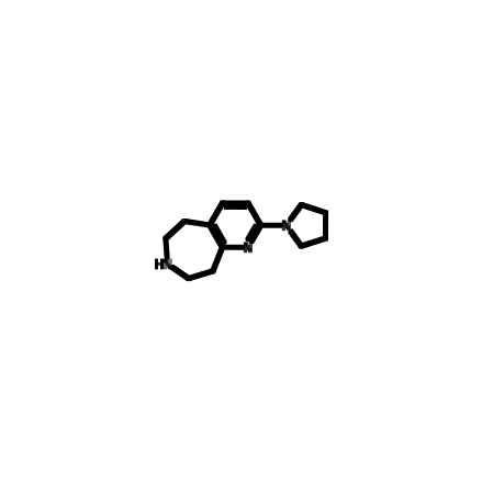 c1cc2c(nc1N1CCCC1)CCNCC2